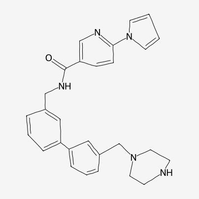 O=C(NCc1cccc(-c2cccc(CN3CCNCC3)c2)c1)c1ccc(-n2cccc2)nc1